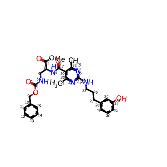 COC(=O)C(CNC(=O)OCc1ccccc1)NC(=O)c1c(C)nc(NCCCc2cccc(O)c2)nc1C